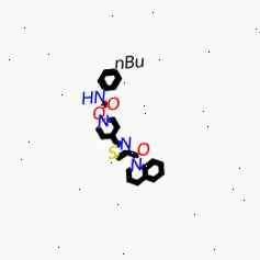 CCCCc1ccc(NC(=O)ON2CCC(c3nc(C(=O)N4CCCC5CCCC=C54)cs3)CC2)cc1